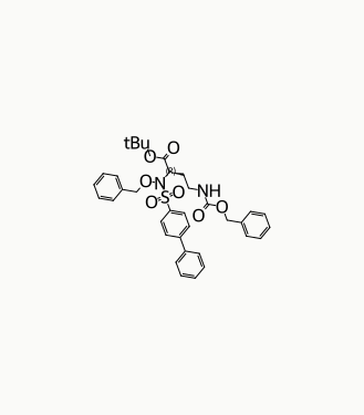 CC(C)(C)OC(=O)[C@@H](CCNC(=O)OCc1ccccc1)N(OCc1ccccc1)S(=O)(=O)c1ccc(-c2ccccc2)cc1